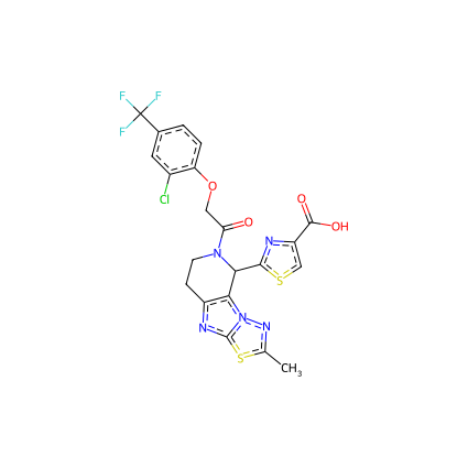 Cc1nn2c3c(nc2s1)CCN(C(=O)COc1ccc(C(F)(F)F)cc1Cl)C3c1nc(C(=O)O)cs1